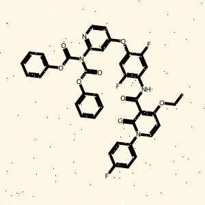 CCOc1ccn(-c2ccc(F)cc2)c(=O)c1C(=O)Nc1cc(F)c(Oc2ccnc(N(C(=O)Oc3ccccc3)C(=O)Oc3ccccc3)c2)cc1F